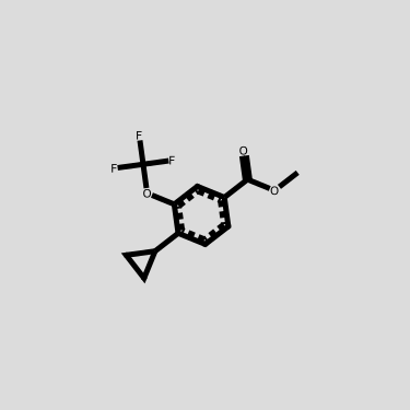 COC(=O)c1ccc(C2CC2)c(OC(F)(F)F)c1